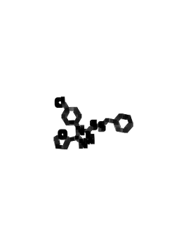 Clc1ccc(-n2c(SSCc3ccccc3)nnc2-c2ccco2)cc1